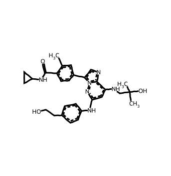 Cc1cc(-c2cnc3c(NCC(C)(C)O)cc(Nc4ccc(CCO)cc4)nn23)ccc1C(=O)NC1CC1